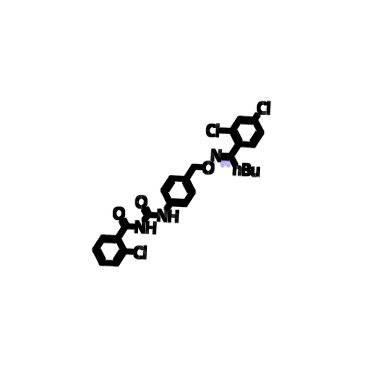 CCCC/C(=N\OCc1ccc(NC(=O)NC(=O)c2ccccc2Cl)cc1)c1ccc(Cl)cc1Cl